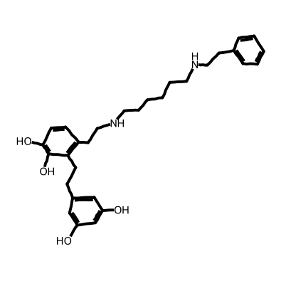 Oc1cc(O)cc(CCc2c(CCNCCCCCCNCCc3ccccc3)ccc(O)c2O)c1